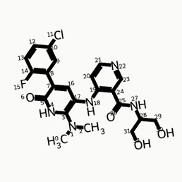 CN(C)c1[nH]c(=O)c(-c2cc(Cl)ccc2F)cc1Nc1ccncc1C(=O)NC(CO)CO